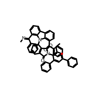 CCc1cc(-c2ccccc2)cc(-c2ccccc2)c1N1C(=O)c2cccc(-n3c4c(C(=O)c5ccccc5)cccc4c4cccc(/C(=N/C)c5ccccc5)c43)c2C1=O